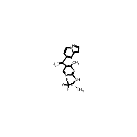 C=C(c1ccn2nccc2c1)c1cnc(N[C@H](C)C(F)(F)F)nc1C